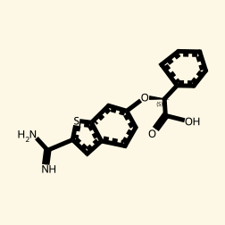 N=C(N)c1cc2ccc(O[C@H](C(=O)O)c3ccccc3)cc2s1